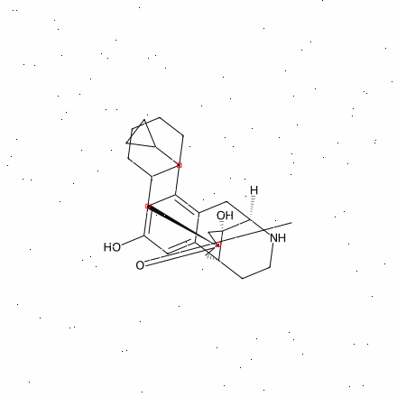 O=C1C[C@]23CCN[C@H](Cc4c(CC5CC5)cc(O)cc42)[C@]3(O)C[C@@H]1CC1CCCCC1